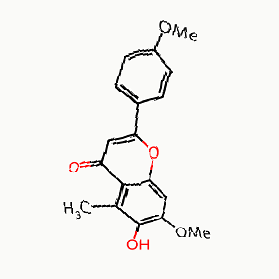 COc1ccc(-c2cc(=O)c3c(C)c(O)c(OC)cc3o2)cc1